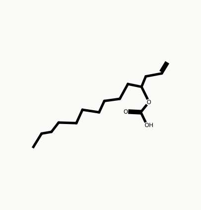 C=CCC(CCCCCCCCCC)OC(=O)O